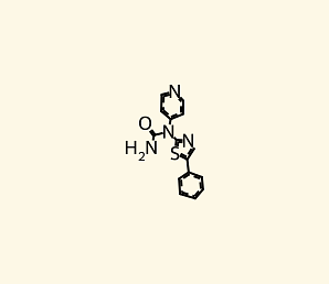 NC(=O)N(c1ccncc1)c1ncc(-c2ccccc2)s1